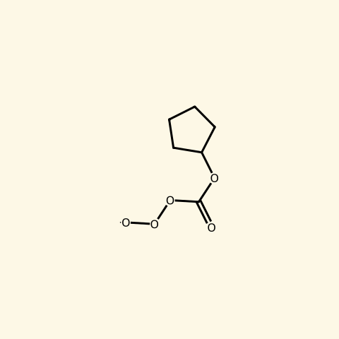 [O]OOC(=O)OC1CCCC1